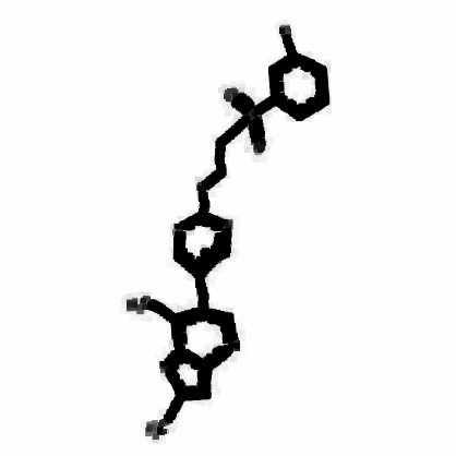 Cc1cc2ncc(-c3cnc(SCCS(=O)(=O)c4cccc(Cl)c4)nc3)c(C)n2n1